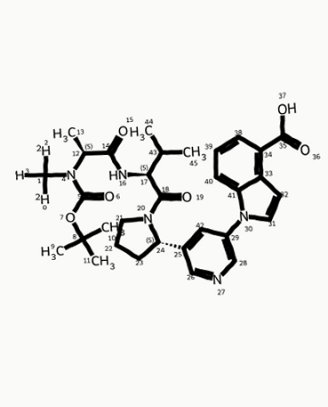 [2H]C([2H])([2H])N(C(=O)OC(C)(C)C)[C@@H](C)C(=O)N[C@H](C(=O)N1CCC[C@H]1c1cncc(-n2ccc3c(C(=O)O)cccc32)c1)C(C)C